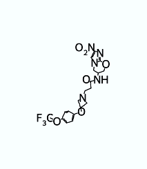 O=C(CCN1CC(Oc2ccc(OC(F)(F)F)cc2)C1)NC1COc2nc([N+](=O)[O-])cn2C1